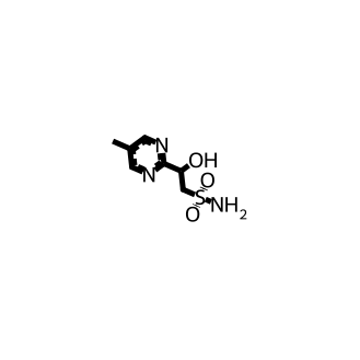 Cc1cnc(C(O)CS(N)(=O)=O)nc1